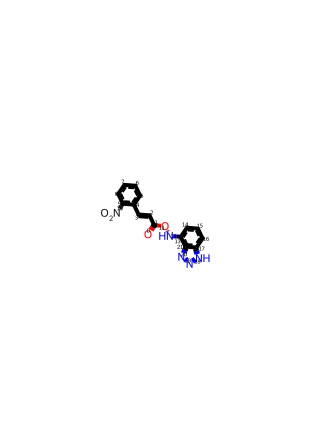 O=C(C=Cc1ccccc1[N+](=O)[O-])ONc1cccc2[nH]nnc12